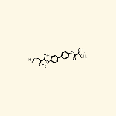 C=C(C)C(=O)Oc1ccc(-c2ccc(OC(O)C(=C)CC)cc2)cc1